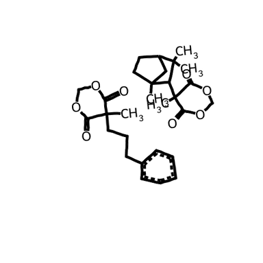 CC1(CCCc2ccccc2)C(=O)OCOC1=O.CC12CCC(C1)C(C)(C)C2C1(C)C(=O)OCOC1=O